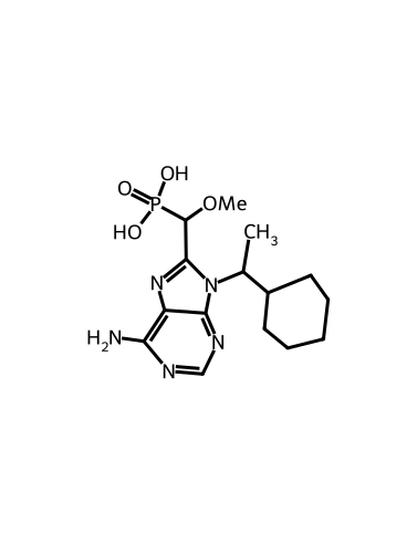 COC(c1nc2c(N)ncnc2n1C(C)C1CCCCC1)P(=O)(O)O